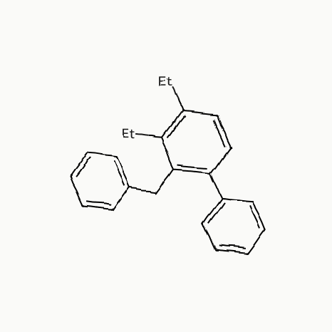 CCc1ccc(-c2ccccc2)c(Cc2ccccc2)c1CC